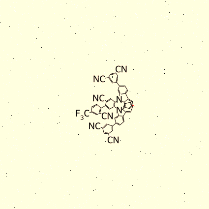 N#Cc1cc(C#N)cc(-c2ccc3c4ccccc4n(-c4cc(C#N)c(-c5ccc(C(F)(F)F)cc5C#N)cc4-n4c5ccccc5c5ccc(-c6cc(C#N)cc(C#N)c6)cc54)c3c2)c1